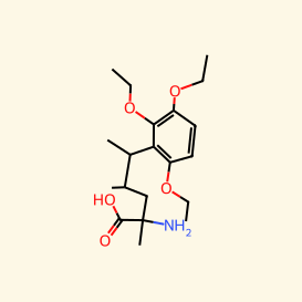 CCOc1ccc(OCC)c(C(C)C(C)CC(C)(N)C(=O)O)c1OCC